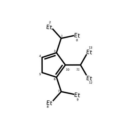 CCC(CC)C1=CCC(C(CC)CC)=C1C(CC)CC